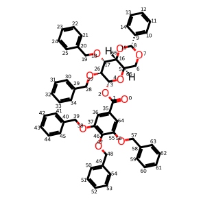 O=C(O[C@H]1O[C@@H]2CO[C@@H](c3ccccc3)O[C@H]2[C@@H](OCc2ccccc2)[C@@H]1OCc1ccccc1)c1cc(OCc2ccccc2)c(OCc2ccccc2)c(OCc2ccccc2)c1